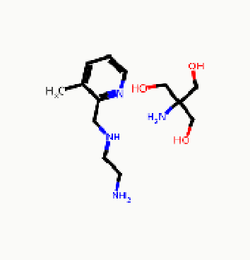 Cc1cccnc1CNCCN.NC(CO)(CO)CO